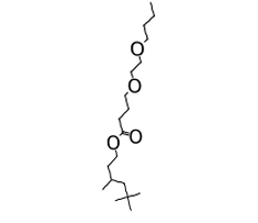 CCCCOCCOCCCC(=O)OCCC(C)CC(C)(C)C